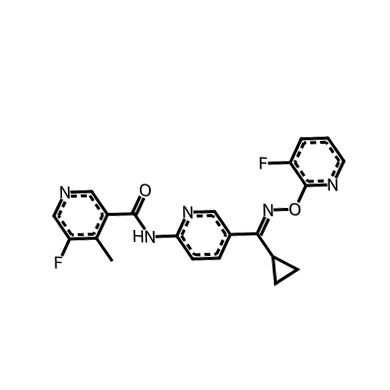 Cc1c(F)cncc1C(=O)Nc1ccc(C(=NOc2ncccc2F)C2CC2)cn1